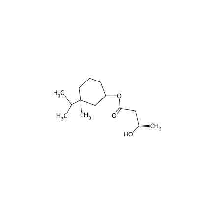 CC(C)C1(C)CCCC(OC(=O)C[C@@H](C)O)C1